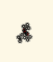 c1ccc(C2(c3ccccc3)c3ccccc3-c3ccc(N(c4ccc(-c5cccc6c5C5(c7ccccc7-6)c6ccccc6-c6c5ccc5oc7ccccc7c65)cc4)c4ccc(-c5cccc6c5oc5ccccc56)cc4)cc32)cc1